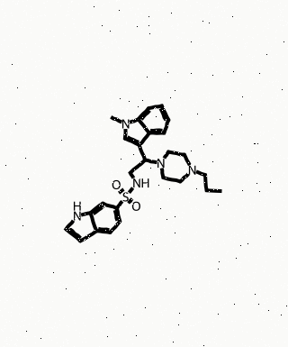 CCCN1CCN(C(CNS(=O)(=O)c2ccc3cc[nH]c3c2)c2cn(C)c3ccccc23)CC1